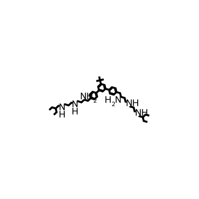 CCC(CC)CNCCCNCCC(N)Cc1ccc(-c2cc(-c3ccc(CC(N)CCNCCCNCC(CC)CC)cc3)cc(C(C)(C)C)c2)cc1